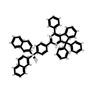 O=P(c1ccc(-c2nc(-c3ccccc3)c3c(n2)C(c2ccccc2)(c2ccccc2)c2ccccc2-3)cc1)(c1ccc2ccccc2c1)c1ccc2ccccc2c1